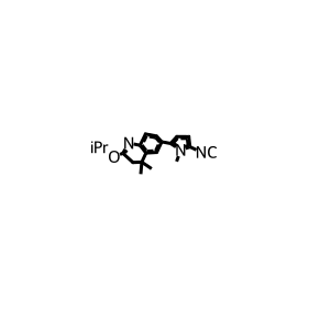 [C-]#[N+]c1ccc(-c2ccc3c(c2)C(C)(C)CC(OC(C)C)=N3)n1C